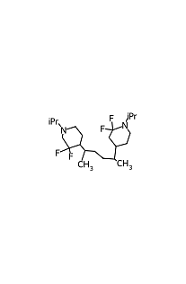 CC(CCC(C)C1CCN(C(C)C)CC1(F)F)C1CCN(C(C)C)C(F)(F)C1